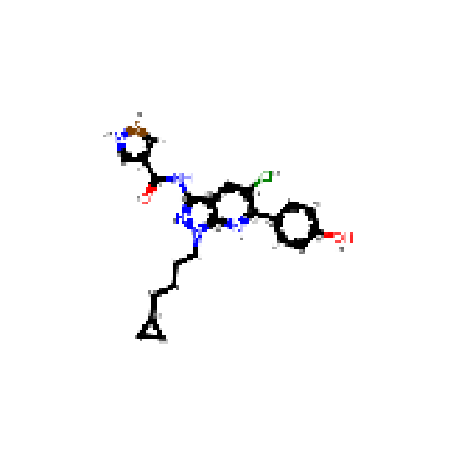 O=C(Nc1nn(CCCCC2CC2)c2nc(-c3ccc(O)cc3)c(Cl)cc12)c1cnsc1